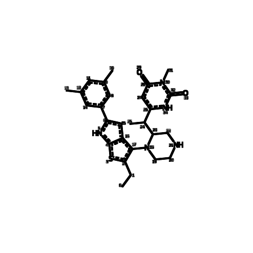 CCc1sc2[nH]c(-c3cc(C)cc(C)c3)cc2c1N1CCNCC1C(C)c1cc(=O)n(C)c(=O)[nH]1